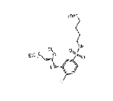 CCCCCCCCCCCCCCNS(=O)(=O)c1ccc(Cl)c(NC(=CC(=O)OCC)OCC)c1